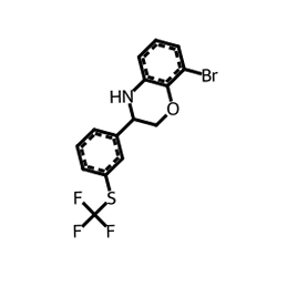 FC(F)(F)Sc1cccc(C2COc3c(Br)cccc3N2)c1